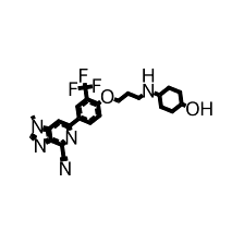 Cn1cnc2c(C#N)nc(-c3ccc(OCCCNC4CCC(O)CC4)c(C(F)(F)F)c3)cc21